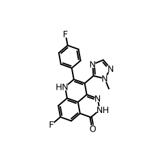 Cn1ncnc1C1=C(c2ccc(F)cc2)Nc2cc(F)cc3c(=O)[nH]nc1c23